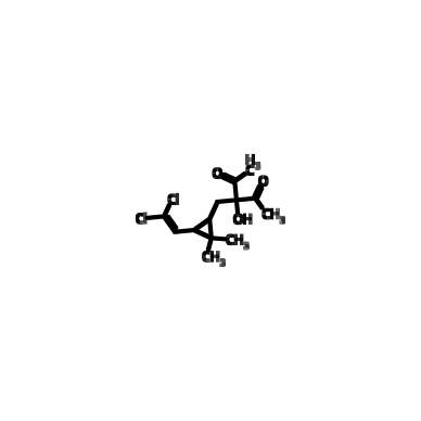 CC(=O)C(O)(CC1C(C=C(Cl)Cl)C1(C)C)C(C)=O